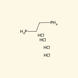 Cl.Cl.Cl.Cl.[PH4]CC[PH4]